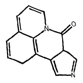 O=C1C2C=NC=C2C2=C3C(=CC=CN13)C=CC2